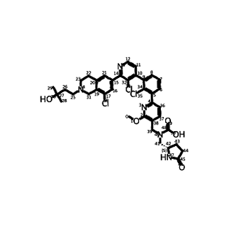 COc1nc(-c2cccc(-c3ccnc(-c4cc(Cl)c5c(c4)CCN(CCC(C)(C)O)C5)c3Cl)c2Cl)ccc1CN(C[C@@H]1CCC(=O)N1)C(=O)O